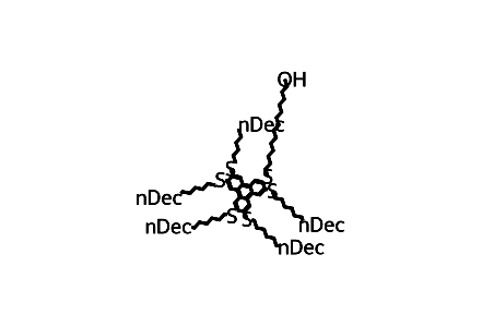 CCCCCCCCCCCCCCCCSc1cc2c(cc1SCCCCCCCCCCCCCCO)c1cc(SCCCCCCCCCCCCCCCC)c(SCCCCCCCCCCCCCCCC)cc1c1cc(SCCCCCCCCCCCCCCCC)c(SCCCCCCCCCCCCCCCC)cc21